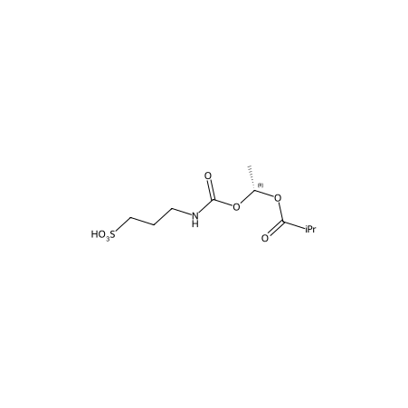 CC(C)C(=O)O[C@@H](C)OC(=O)NCCCS(=O)(=O)O